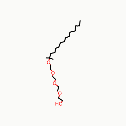 CCCCCCCCCCCCCC(C)(C)OCCOCCOCCOCCO